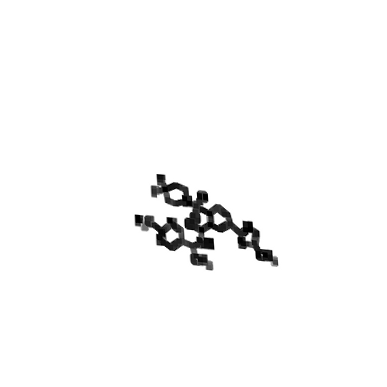 Cc1cnc(-c2ccc(S(=O)(=O)N3CCC(F)(F)CC3)c(C(=O)NC(C)c3cnc(C(F)(F)F)nc3)c2)s1